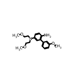 COCCN(CCOC)c1ccc(N)c(-c2cccc(OC)c2)c1